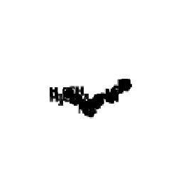 CC(C)(C)c1ccc(-c2nc3cccc(N4CCN(Cc5ccnc(OCc6ccccn6)n5)CC4)c3[nH]2)cc1